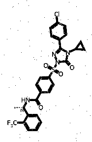 C[C@H](NC(=O)c1ccc(S(=O)(=O)n2nc(-c3ccc(Cl)cc3)n(C3CC3)c2=O)cc1)c1ccccc1C(F)(F)F